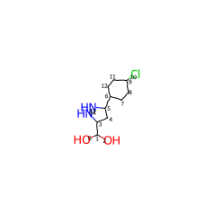 OC(O)C1CC(C2CCC(Cl)CC2)NN1